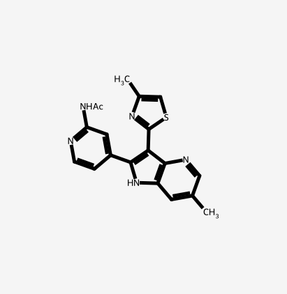 CC(=O)Nc1cc(-c2[nH]c3cc(C)cnc3c2-c2nc(C)cs2)ccn1